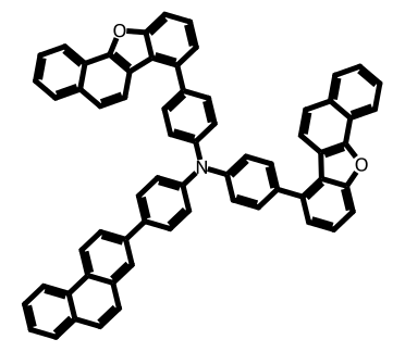 c1ccc2c(c1)ccc1cc(-c3ccc(N(c4ccc(-c5cccc6oc7c8ccccc8ccc7c56)cc4)c4ccc(-c5cccc6oc7c8ccccc8ccc7c56)cc4)cc3)ccc12